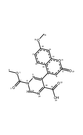 COC(=O)N1N=C(c2cc(=O)oc3cc(OC)ccc23)C(C(=O)O)=NN1